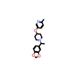 Cc1ccc(OC2CCN(C(C)c3ccc4c(c3)OCO4)CC2)cn1